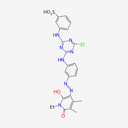 CCn1c(O)c(/N=N/c2cccc(Nc3nc(Cl)nc(Nc4cccc(S(=O)(=O)O)c4)n3)c2)c(C)c(C)c1=O